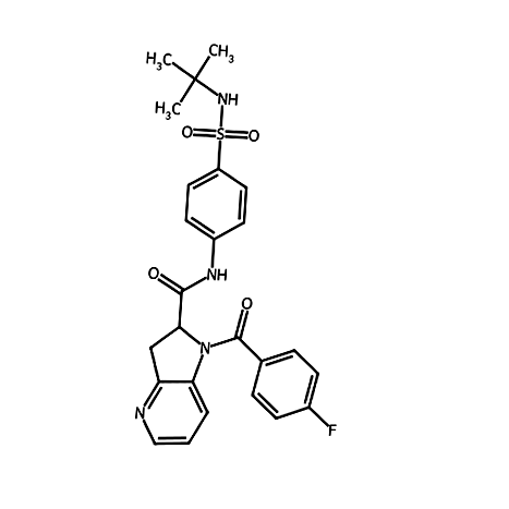 CC(C)(C)NS(=O)(=O)c1ccc(NC(=O)C2Cc3ncccc3N2C(=O)c2ccc(F)cc2)cc1